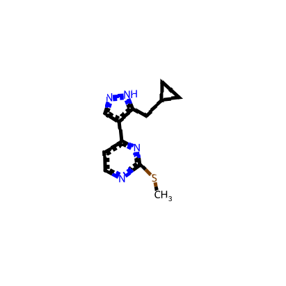 CSc1nccc(-c2cn[nH]c2CC2CC2)n1